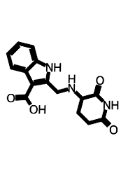 O=C1CCC(NCc2[nH]c3ccccc3c2C(=O)O)C(=O)N1